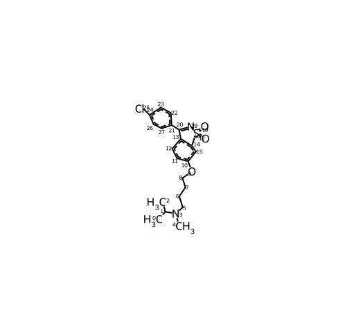 CC(C)N(C)CCCCOc1ccc2c(c1)S(=O)(=O)N=C2c1ccc(Cl)cc1